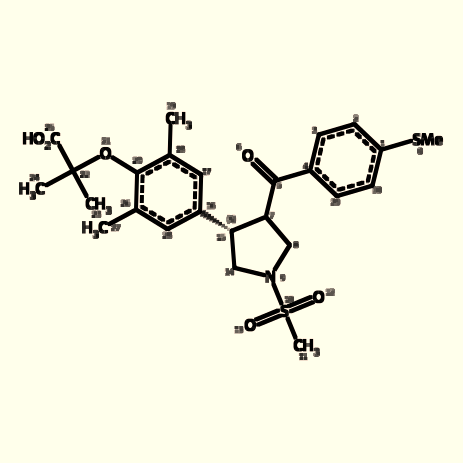 CSc1ccc(C(=O)C2CN(S(C)(=O)=O)C[C@@H]2c2cc(C)c(OC(C)(C)C(=O)O)c(C)c2)cc1